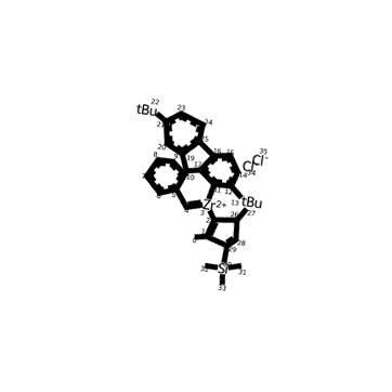 CC1=[C](/[Zr+2](=[CH]/c2ccccc2)[c]2c(C(C)(C)C)ccc3c2Cc2cc(C(C)(C)C)ccc2-3)C(C)C=C1[Si](C)(C)C.[Cl-].[Cl-]